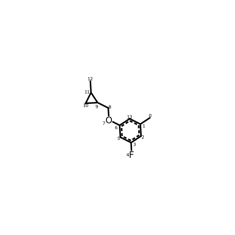 Cc1cc(F)cc(OCC2CC2C)c1